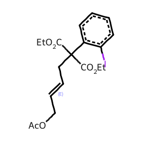 CCOC(=O)C(C/C=C/COC(C)=O)(C(=O)OCC)c1ccccc1I